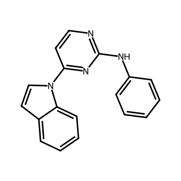 c1ccc(Nc2nccc(-n3ccc4ccccc43)n2)cc1